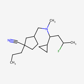 CCCC1(C#N)CCC(CN(C)C(CC(C)F)C2CC2)C1